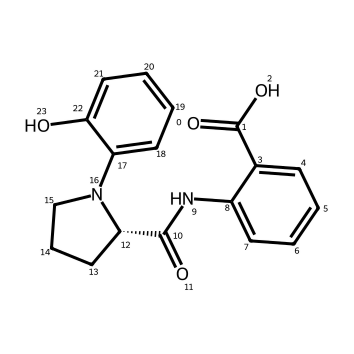 O=C(O)c1ccccc1NC(=O)[C@@H]1CCCN1c1ccccc1O